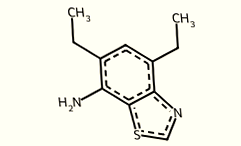 CCc1cc(CC)c2ncsc2c1N